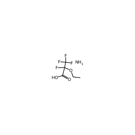 CCOC(F)(C(=O)O)C(F)(F)F.N